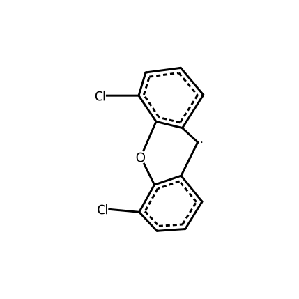 Clc1cccc2c1Oc1c(Cl)cccc1[CH]2